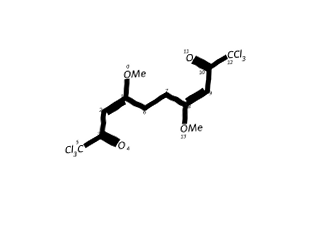 CO/C(=C/C(=O)C(Cl)(Cl)Cl)CC/C(=C\C(=O)C(Cl)(Cl)Cl)OC